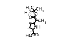 C[C@H](C(=O)OC(C)(C)C)C1CCC(C(=O)O)N1